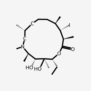 CC[C@H]1OC(=O)[C@H](C)[C@@H](I)[C@H](C)CCC[C@@H](C)CN(C)[C@H](C)[C@@H](O)[C@]1(C)O